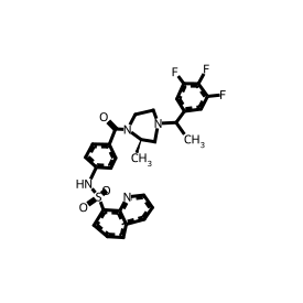 CC(c1cc(F)c(F)c(F)c1)N1CCN(C(=O)c2ccc(NS(=O)(=O)c3cccc4cccnc34)cc2)[C@H](C)C1